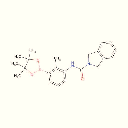 Cc1c(NC(=O)N2Cc3ccccc3C2)cccc1B1OC(C)(C)C(C)(C)O1